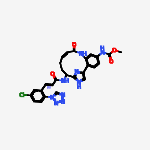 COC(=O)Nc1ccc2c(c1)NC(=O)C=CCCC(NC(=O)/C=C/c1cc(Cl)ccc1-n1cnnn1)c1nc-2c[nH]1